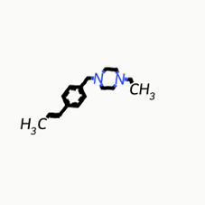 C/C=C/c1ccc(CN2CCN(CC)CC2)cc1